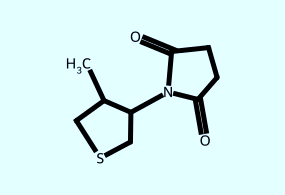 CC1CSCC1N1C(=O)CCC1=O